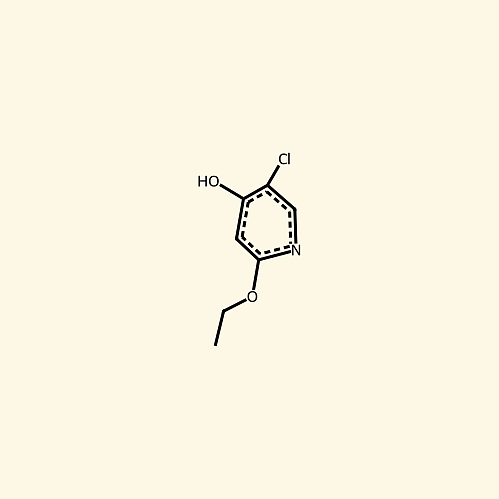 CCOc1cc(O)c(Cl)cn1